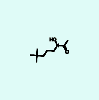 CC(=O)N(O)CCCC(C)(C)C